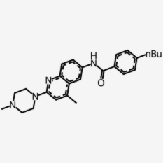 CCCCc1ccc(C(=O)Nc2ccc3nc(N4CCN(C)CC4)cc(C)c3c2)cc1